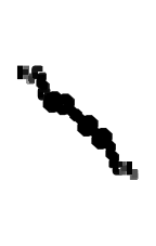 CCCCCc1ccc(-c2ccc(C#Cc3ccc4cc(OCCCC)ccc4c3)cc2)cc1